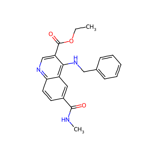 CCOC(=O)c1cnc2ccc(C(=O)NC)cc2c1NCc1ccccc1